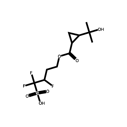 CC(C)(O)C1CC1C(=O)OCCC(F)C(F)(F)S(=O)(=O)O